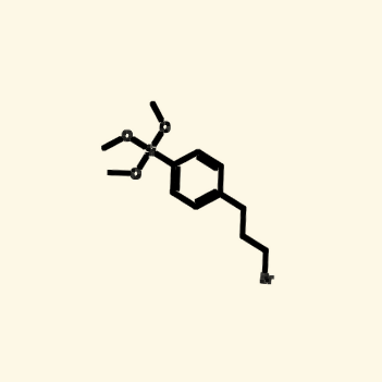 CO[Si](OC)(OC)c1ccc(CCCBr)cc1